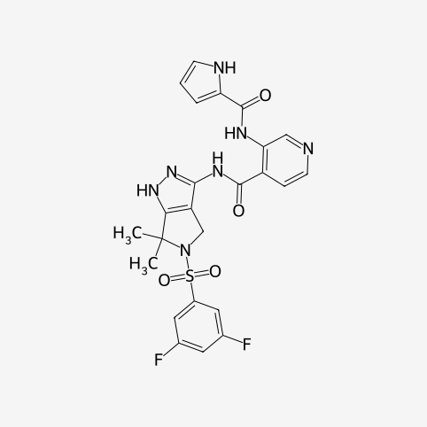 CC1(C)c2[nH]nc(NC(=O)c3ccncc3NC(=O)c3ccc[nH]3)c2CN1S(=O)(=O)c1cc(F)cc(F)c1